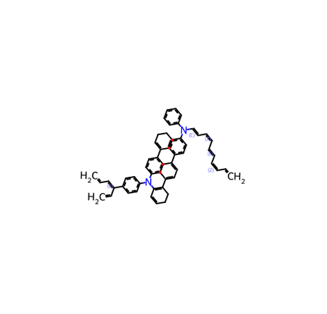 C=C\C=C/C=C/C=C\C=C\N(c1ccccc1)c1ccc(C2=CC=C(C3=C(N(c4ccc(C5=CCCC=C5)cc4)c4ccc(/C(C=C)=C/C=C)cc4)C=CCC3)CC2)cc1